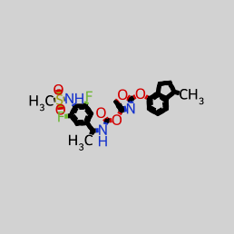 CC1CCc2c(Oc3nc(OC(=O)NC(C)c4cc(F)c(NS(C)(=O)=O)c(F)c4)co3)cccc21